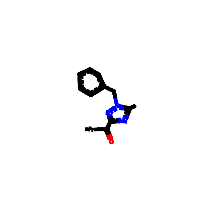 CCCC(=O)c1nc(C)n(Cc2ccccc2)n1